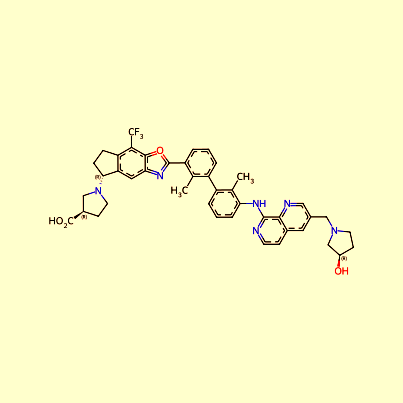 Cc1c(Nc2nccc3cc(CN4CC[C@@H](O)C4)cnc23)cccc1-c1cccc(-c2nc3cc4c(c(C(F)(F)F)c3o2)CC[C@H]4N2CC[C@@H](C(=O)O)C2)c1C